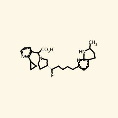 CC1CCc2ccc(CCCCC(F)[C@@H]3CCN(C(C(=O)O)c4cccnc4C4CC4)C3)nc2N1